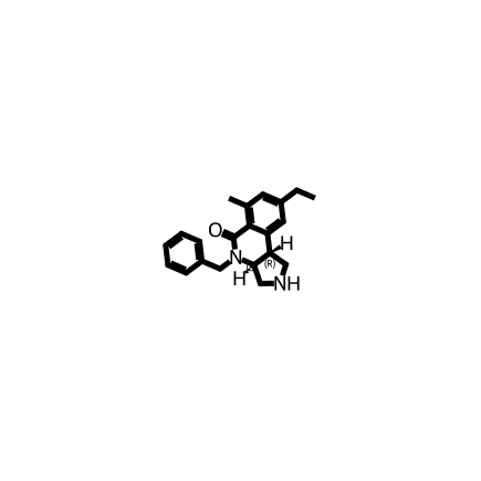 CCc1cc(C)c2c(c1)[C@@H]1CNC[C@H]1N(Cc1ccccc1)C2=O